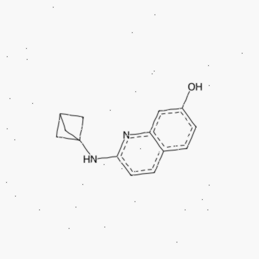 Oc1ccc2ccc(NC34CC(C3)C4)nc2c1